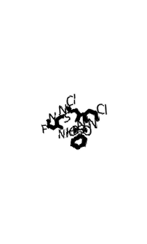 NCc1cc(F)cnc1-c1nc(Cl)c(Cc2cn(S(=O)(=O)c3ccccc3)c3ncc(Cl)cc23)s1